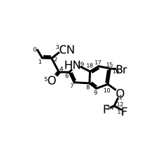 C/C=C(\C#N)C(=O)c1cc2cc(OC(F)F)c(Br)cc2[nH]1